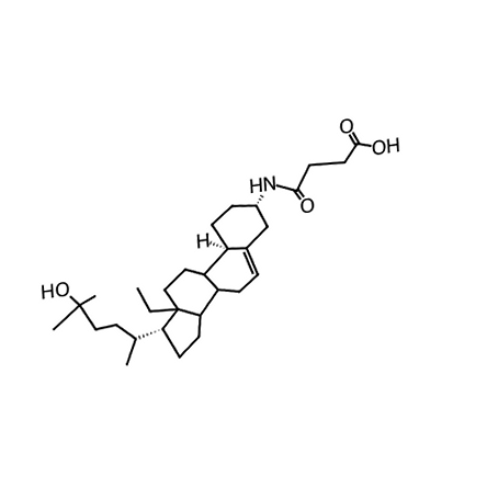 CCC12CCC3C(CC=C4C[C@@H](NC(=O)CCC(=O)O)CC[C@@H]43)C1CC[C@@H]2C(C)CCC(C)(C)O